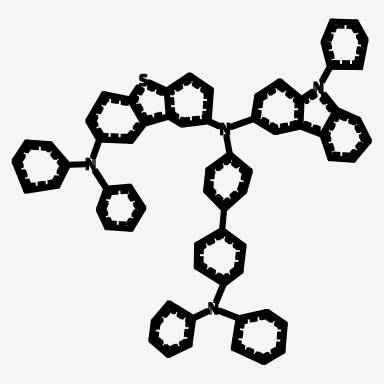 c1ccc(N(c2ccccc2)c2ccc(-c3ccc(N(c4ccc5sc6ccc(N(c7ccccc7)c7ccccc7)cc6c5c4)c4ccc5c(c4)c4ccccc4n5-c4ccccc4)cc3)cc2)cc1